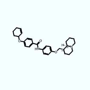 O=C(Nc1ccc(OC[C@@H]2CCCN3CCCC[C@H]23)cc1)c1ccc(OC2C=CCCC2)cc1